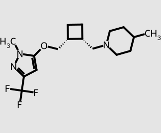 CC1CCN(C[C@H]2CC[C@H]2COc2cc(C(F)(F)F)nn2C)CC1